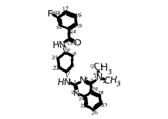 CN(C)c1nc(N[C@H]2CC[C@@H](NC(=O)c3cccc(F)c3)CC2)nc2ccccc12